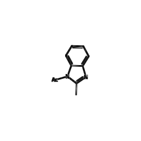 CC(=O)n1c(C)nc2ccccc21